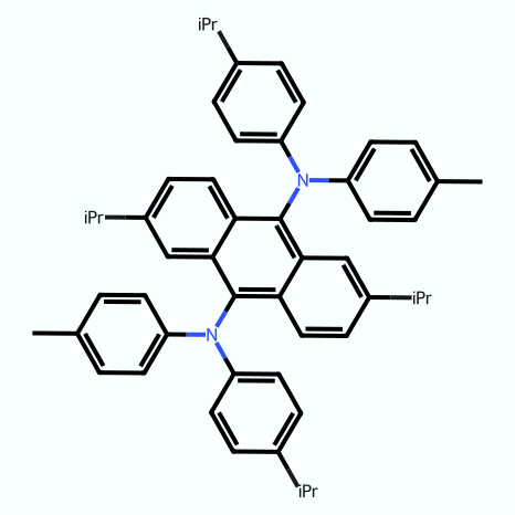 Cc1ccc(N(c2ccc(C(C)C)cc2)c2c3ccc(C(C)C)cc3c(N(c3ccc(C)cc3)c3ccc(C(C)C)cc3)c3ccc(C(C)C)cc23)cc1